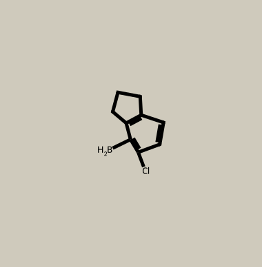 Bc1c(Cl)ccc2c1CCC2